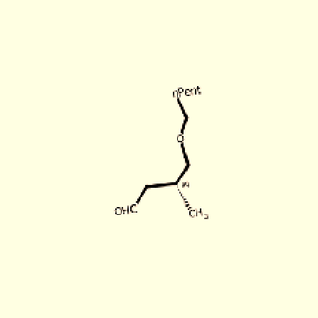 CCCCCCOC[C@H](C)CC=O